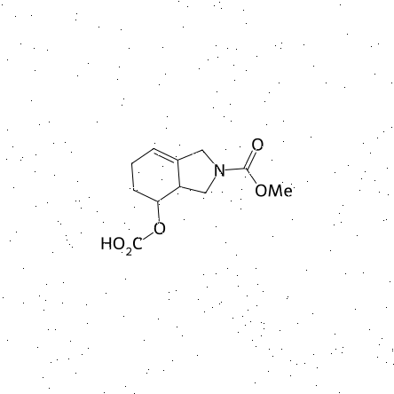 COC(=O)N1CC2=CCCC(OC(=O)O)C2C1